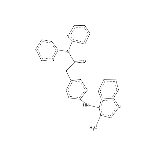 Cc1cnc2ccccc2c1Nc1ccc(CC(=O)N(c2ccccn2)c2ccccn2)cc1